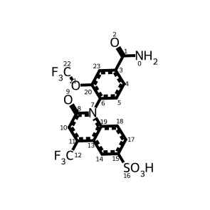 NC(=O)c1ccc(-n2c(=O)cc(C(F)(F)F)c3cc(S(=O)(=O)O)ccc32)c(OC(F)(F)F)c1